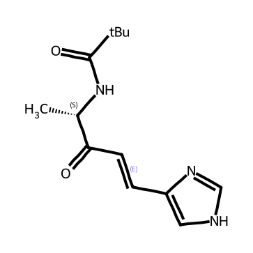 C[C@H](NC(=O)C(C)(C)C)C(=O)/C=C/c1c[nH]cn1